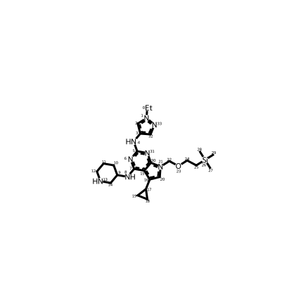 CCn1cc(Nc2nc(NC3CCCNC3)c3c(C4CC4)cn(COCC[Si](C)(C)C)c3n2)cn1